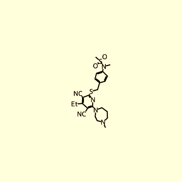 CCc1c(C#N)c(SCc2ccc(N(C)S(C)(=O)=O)cc2)nc(N2CCCN(C)CC2)c1C#N